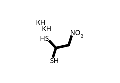 O=[N+]([O-])CC(S)S.[KH].[KH]